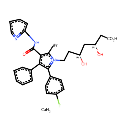 CC(C)c1c(C(=O)Nc2ccccn2)c(-c2ccccc2)c(-c2ccc(F)cc2)n1CC[C@@H](O)C[C@@H](O)CC(=O)O.[CaH2]